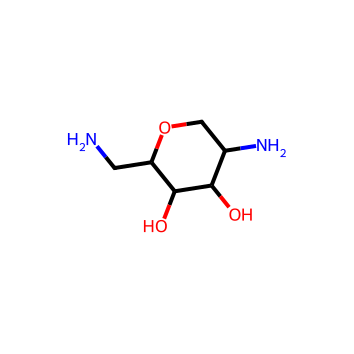 NCC1OCC(N)C(O)C1O